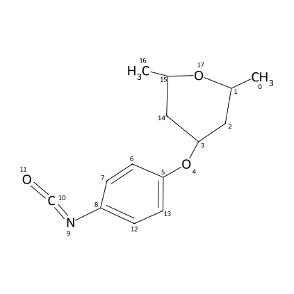 CC1CC(Oc2ccc(N=C=O)cc2)CC(C)O1